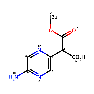 CCC(C)OC(=O)C(C(=O)O)c1cnc(N)cn1